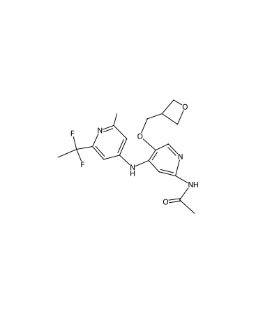 CC(=O)Nc1cc(Nc2cc(C)nc(C(C)(F)F)c2)c(OCC2COC2)cn1